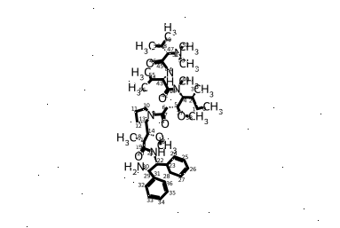 CC[C@H](C)[C@@H]([C@@H](CC(=O)N1CCC[C@H]1[C@H](OC)[C@@H](C)C(=O)N[C@@H](C1C=CC=CC1)[C@@H](N)c1ccccc1)OC)N(C)C(=O)[C@@H](NC(=O)[C@H](C(C)C)N(C)C)C(C)C